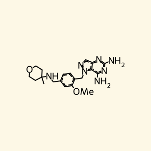 COc1cc(CNC2(C)CCOCC2)ccc1Cn1ncc2nc(N)nc(N)c21